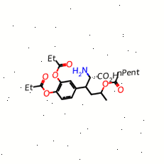 CCCCCC(=O)OC(C)CC(c1ccc(OC(=O)CC)c(OC(=O)CC)c1)[C@H](N)C(=O)O